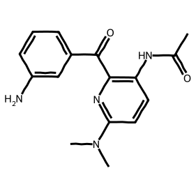 CC(=O)Nc1ccc(N(C)C)nc1C(=O)c1cccc(N)c1